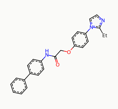 CCc1nccn1-c1ccc(OCC(=O)Nc2ccc(-c3ccccc3)cc2)cc1